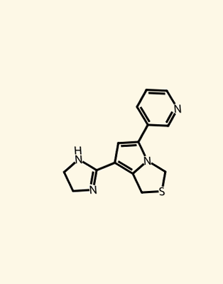 c1cncc(-c2cc(C3=NCCN3)c3n2CSC3)c1